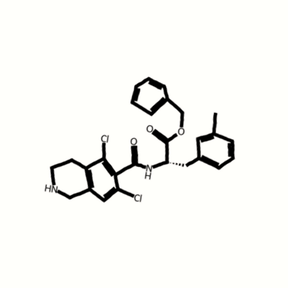 Cc1cccc(C[C@H](NC(=O)c2c(Cl)cc3c(c2Cl)CCNC3)C(=O)OCc2ccccc2)c1